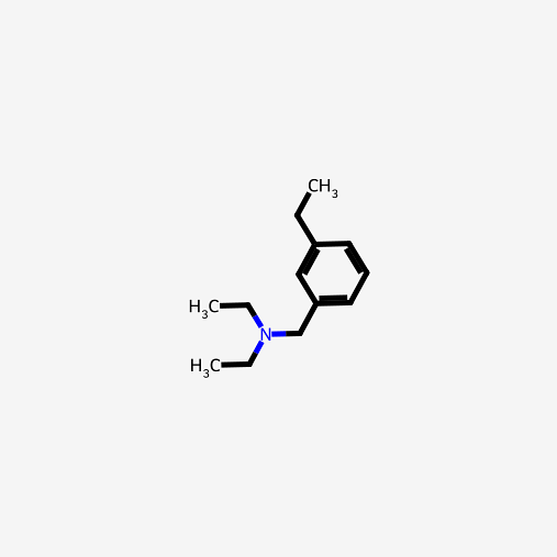 CCc1cccc(CN(CC)CC)c1